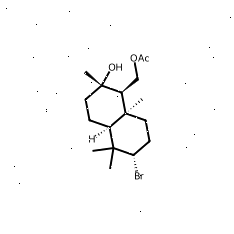 CC(=O)OC[C@H]1[C@@]2(C)CC[C@H](Br)C(C)(C)[C@H]2CC[C@]1(C)O